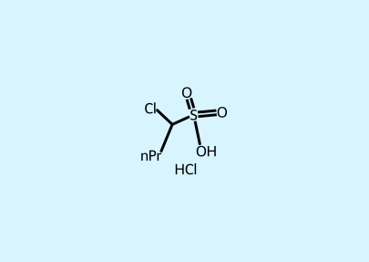 CCCC(Cl)S(=O)(=O)O.Cl